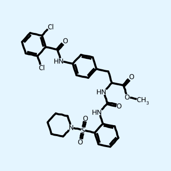 COC(=O)C(Cc1ccc(NC(=O)c2c(Cl)cccc2Cl)cc1)NC(=O)Nc1ccccc1S(=O)(=O)N1CCCCC1